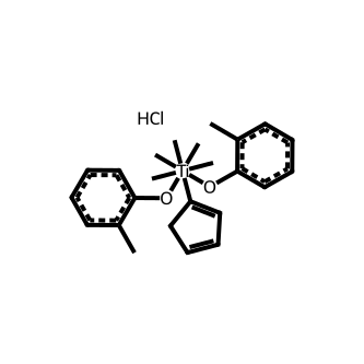 Cc1ccccc1[O][Ti]([CH3])([CH3])([CH3])([CH3])([CH3])([O]c1ccccc1C)[C]1=CC=CC1.Cl